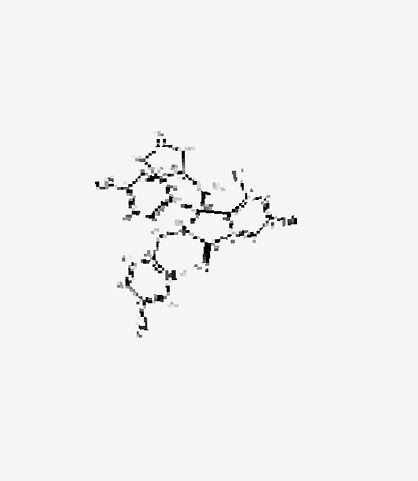 O=C1c2cc(Br)cc(F)c2C(O[C@H]2CCOC2)(c2ccc(Cl)cc2)N1Cc1ccc(Cl)cn1